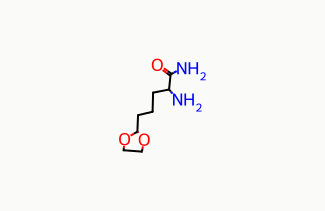 NC(=O)C(N)CCCC1OCCO1